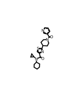 O=C(c1cccnc1)N1CCC(c2nc(C(=O)N(C3CCCCC3)C3CC3)cs2)CC1